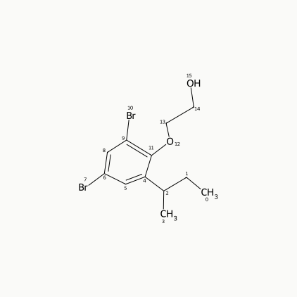 CCC(C)c1cc(Br)cc(Br)c1OCCO